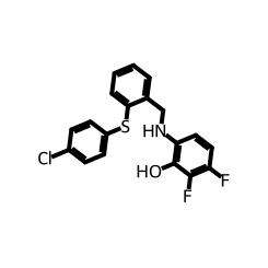 Oc1c(NCc2ccccc2Sc2ccc(Cl)cc2)ccc(F)c1F